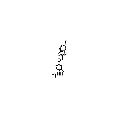 CC(=O)Nc1ccc(OCc2nc3cc(F)ccc3s2)cc1C